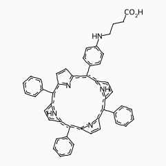 O=C(O)CCCNc1ccc(-c2c3nc(c(-c4ccccc4)c4ccc([nH]4)c(-c4ccccc4)c4nc(c(-c5ccccc5)c5ccc2[nH]5)C=C4)C=C3)cc1